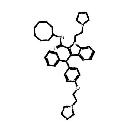 O=C(NC1CCCCCCC1)c1c(C(c2ccccc2)c2ccc(OCCN3CCCC3)cc2)c2ccccc2n1CCN1CCCC1